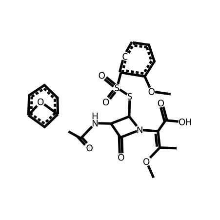 COC(C)=C(C(=O)O)N1C(=O)C(NC(C)=O)C1SS(=O)(=O)c1ccccc1OC.c1cc2cc(c1)O2